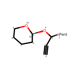 C#CC(CCCCC)O[C@H]1CCCCO1